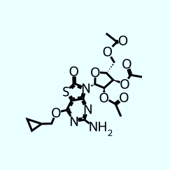 CC(=O)OC[C@H]1O[C@@H](n2c(=O)sc3c(OCC4CC4)nc(N)nc32)[C@H](OC(C)=O)[C@@H]1OC(C)=O